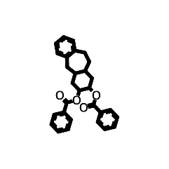 O=C(OC1CC2CCc3ccccc3CC2CC1OC(=O)c1ccccc1)c1ccccc1